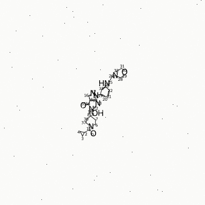 O=C(C1CC1)N1CCC(O)(Cn2cnc3c(cnn3-c3cccc(NCCN4CCOCC4)c3)c2=O)CC1